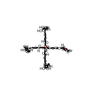 CC(=O)N[C@@H]1[C@@H](O)[C@@H](O)[C@@H](CO)O[C@@H]1CCCOCCOCCNC(=O)CCOCC(COCCC(=O)NCCOCCOCCC[C@H]1O[C@H](CO)[C@H](O)[C@H](O)[C@H]1NC(C)=O)(COCCC(=O)NCCOCCOCCC[C@H]1O[C@H](CO)[C@H](O)[C@H](O)[C@H]1NC(C)=O)NC(=O)COCCOCCOCCOCCNS(=O)(=O)C1CCN(C(=O)CBr)CC1